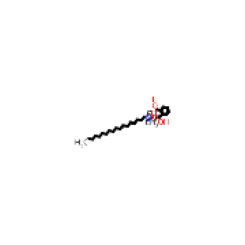 CCCCCCCCCCCCCCCCCC[N+](C)(C)C.O=C(O)c1ccccc1C(=O)O